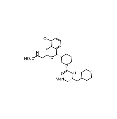 CNC[C@@H](CC1CCOCC1)NC(=O)N1CCC[C@@H](C(OCCNC(=O)O)c2cccc(Cl)c2F)C1